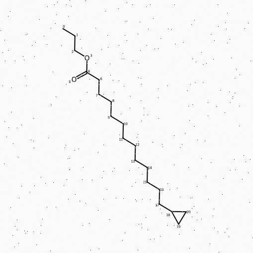 CCCOC(=O)CCCCCCCCCCCCC1CC1